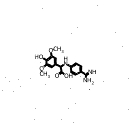 COc1cc(C(Nc2ccc(C(=N)N)cc2)C(=O)O)cc(OC)c1O